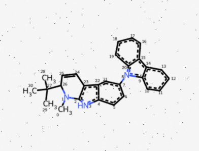 CN1c2[nH]c3ccc(-n4c5ccccc5c5ccccc54)cc3c2C=CC1C(C)(C)C